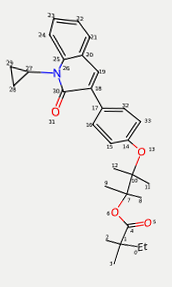 CCC(C)(C)C(=O)OC(C)(C)C(C)(C)Oc1ccc(-c2cc3ccccc3n(C3CC3)c2=O)cc1